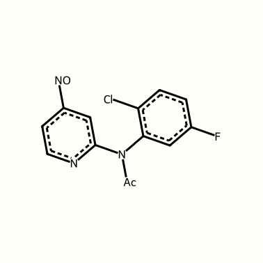 CC(=O)N(c1cc(N=O)ccn1)c1cc(F)ccc1Cl